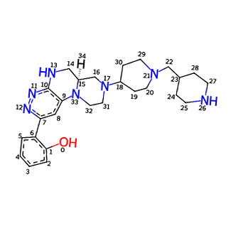 Oc1ccccc1-c1cc2c(nn1)NC[C@H]1CN(C3CCN(CC4CCNCC4)CC3)CCN21